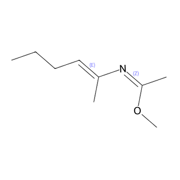 CCC/C=C(C)/N=C(/C)OC